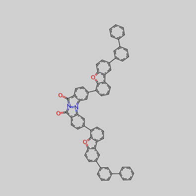 O=c1c2ccc(-c3cccc4c3oc3ccc(-c5cccc(-c6ccccc6)c5)cc34)cc2n2c3cc(-c4cccc5c4oc4ccc(-c6cccc(-c7ccccc7)c6)cc45)ccc3c(=O)n12